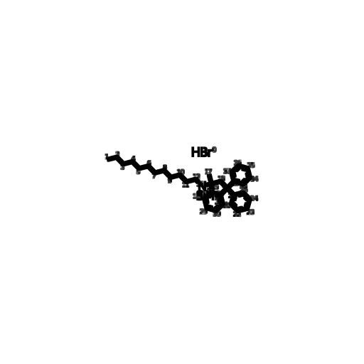 Br.CCCCCCCCCCCCN([SiH3])C(C)(C)CC(c1ccccc1)(c1ccccc1)c1ccccc1